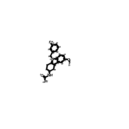 CC(C)C(=O)NC1CCc2c(c3cc(OF)ccc3n2Cc2cccc(F)c2)C1